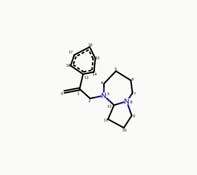 C=C(CN1CCCCN2CCCC21)c1ccccc1